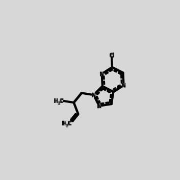 C=CC(C)Cn1ncc2ncc(Cl)nc21